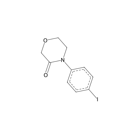 O=C1COCCN1c1ccc(I)cc1